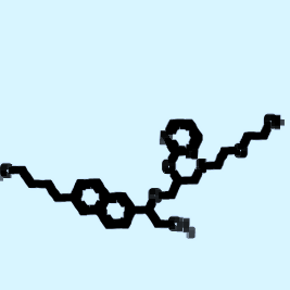 CCCCCc1ccc2cc(C(CC)OCC(CSCCOCCO)Oc3ncccn3)ccc2c1